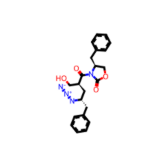 [N-]=[N+]=N[C@@H](Cc1ccccc1)C[C@@H](CO)C(=O)N1C(=O)OC[C@@H]1Cc1ccccc1